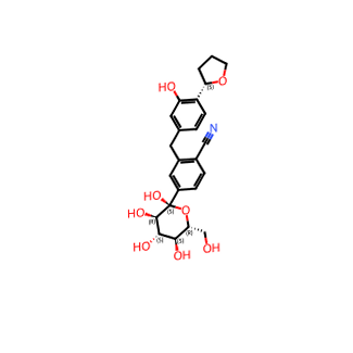 N#Cc1ccc([C@]2(O)O[C@H](CO)[C@@H](O)[C@H](O)[C@H]2O)cc1Cc1ccc([C@@H]2CCCO2)c(O)c1